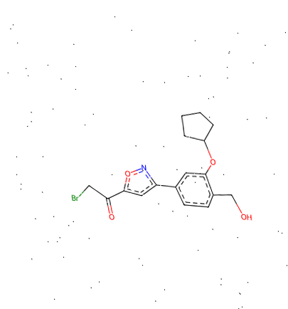 O=C(CBr)c1cc(-c2ccc(CO)c(OC3CCCC3)c2)no1